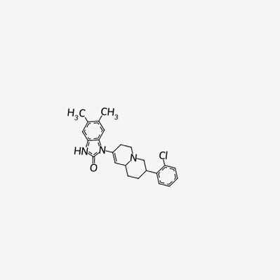 Cc1cc2[nH]c(=O)n(C3=CC4CCC(c5ccccc5Cl)CN4CC3)c2cc1C